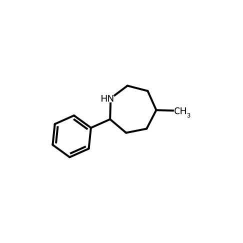 CC1CCNC(c2ccccc2)CC1